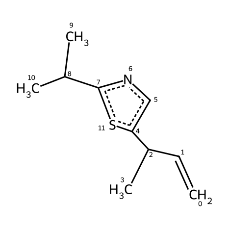 C=CC(C)c1cnc(C(C)C)s1